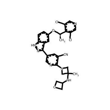 C[C@@H](Oc1ccc2[nH]nc(-c3cnc(N4CC(C)(NC5COC5)C4)c(C#N)c3)c2c1)c1c(Cl)cncc1Cl